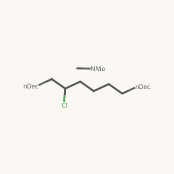 CCCCCCCCCCCCCCC(Cl)CCCCCCCCCCC.CNC